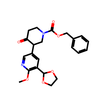 COc1ncc(C2CN(C(=O)OCc3ccccc3)CCC2=O)cc1C1OCCO1